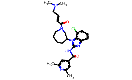 Cc1cc(C(=O)Nc2nc3cccc(Cl)c3n2C2CCCCN(C(=O)C=CCN(C)C)C2)cc(C)n1